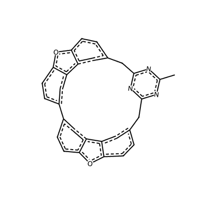 Cc1nc2nc(n1)Cc1ccc3oc4ccc(cc4c3c1)-c1ccc3oc4ccc(cc4c3c1)C2